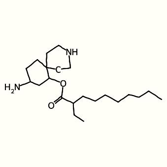 CCCCCCCCC(CC)C(=O)OC1CC(N)CCC12CCNCC2